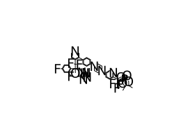 CCOP(=O)(OCC)OC(c1ccc(N2CCN(c3ccc(-c4cnccc4C(F)(F)C(O)(Cn4cnnn4)c4ccc(F)cc4F)cc3)CC2)cn1)C(F)(F)F